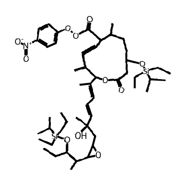 CCC(O[Si](CC)(CC)C(C)C)C(C)C1OC1CC(C)(O)/C=C/C=C(\C)C1OC(=O)CC(O[Si](CC)(CC)C(C)C)CCC(C)C(C(=O)OOc2ccc([N+](=O)[O-])cc2)/C=C/C1C